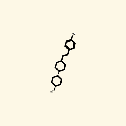 CCC[C@H]1CC[C@H](C2CCC(CCc3ccc(C#N)cc3)CC2)CC1